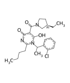 CCCCc1nc(=O)c(C(=O)N2CC[C@@H](CC)C2)c(O)n1C(C)c1ccccc1Cl